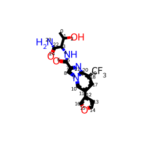 CC(O)C(NC(=O)c1cn2cc(-c3ccoc3)cc(C(F)(F)F)c2n1)C(N)=O